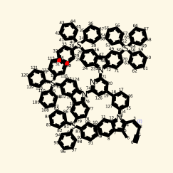 C#C/C=C\c1c(C)c2ccccc2n1-c1cccc(-c2cc(-n3c4ccc(S(c5ccccc5)(c5ccccc5)c5ccccc5)cc4c4cc(S(c5ccccc5)(c5ccccc5)c5ccccc5)ccc43)nc(-n3c4ccc(S(c5ccccc5)(c5ccccc5)c5ccccc5)cc4c4cc(S(c5ccccc5)(c5ccccc5)c5ccccc5)ccc43)c2)c1